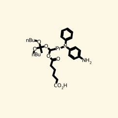 CC(C)N(c1ccccc1)c1ccc(N)cc1.CCCCOC(C)(OCCCC)OC(C)OC(=O)CCCCC(=O)O